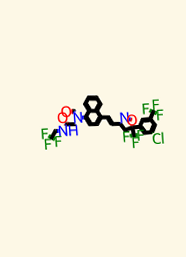 O=CN(CC(=O)NCC(F)(F)F)c1ccc(C=CC2=NOC(c3cc(Cl)cc(C(F)(F)F)c3)(C(F)(F)F)C2)c2ccccc12